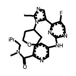 Cc1ncc(-c2nc(Nc3ccc(C(=O)N(C)CC(C)C)nc3)ncc2F)n1C1CCOCC1